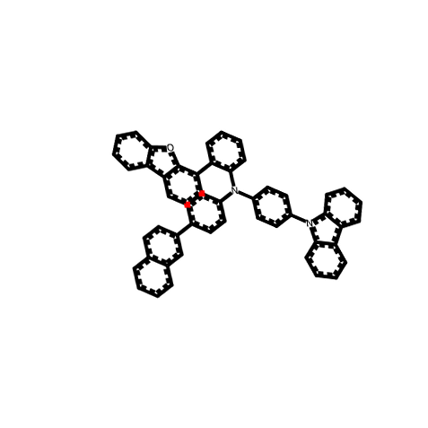 c1ccc(N(c2ccc(-c3ccc4ccccc4c3)cc2)c2ccc(-n3c4ccccc4c4ccccc43)cc2)c(-c2cccc3c2oc2ccccc23)c1